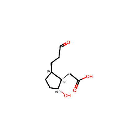 O=CCC[C@@H]1CC[C@@H](O)[C@H]1CC(=O)O